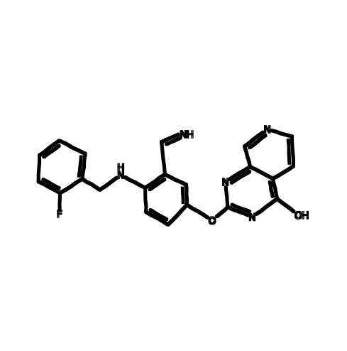 N=Cc1cc(Oc2nc(O)c3ccncc3n2)ccc1NCc1ccccc1F